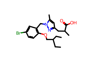 CCC(CC)COc1ccc(Br)cc1Cn1nc(CC(C)C(=O)O)cc1C